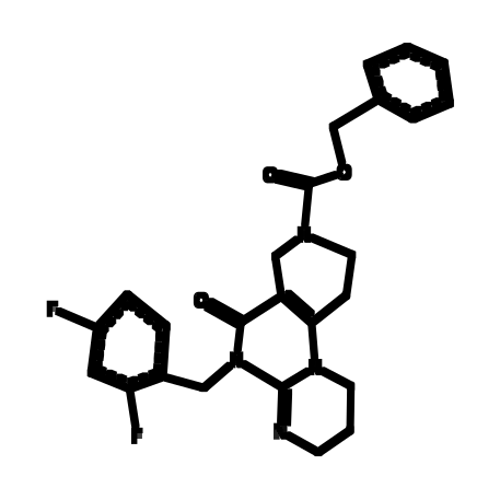 O=C(OCc1ccccc1)N1CCC2=C(C1)C(=O)N(Cc1ccc(F)cc1F)C1=NCCCN12